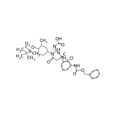 CC1CC(N2C(=O)C[C@@](C)(c3cccc(NC(=O)OCc4ccccc4)c3Cl)N/C2=N\C(=O)O)CCC1O[Si](C)(C)C(C)(C)C